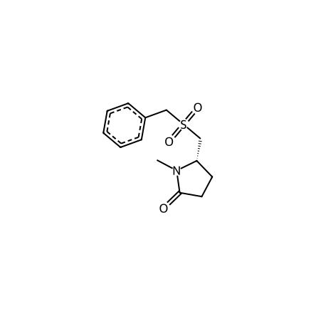 CN1C(=O)CC[C@H]1CS(=O)(=O)Cc1ccccc1